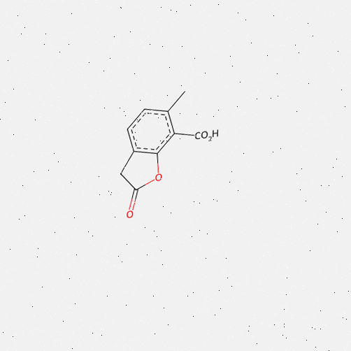 Cc1ccc2c(c1C(=O)O)OC(=O)C2